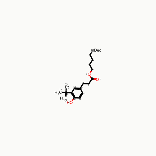 CCCCCCCCCCCCCCOC(=O)CCc1ccc(O)c(C(C)(C)CC)c1